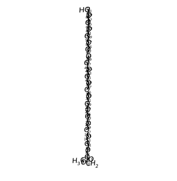 C=C(OC)C(=O)OCCOCCOCCOCCOCCOCCOCCOCCOCCOCCOCCOCCOCCOCCOCCOCCOCCOCCOCCOCCOCCOCCO